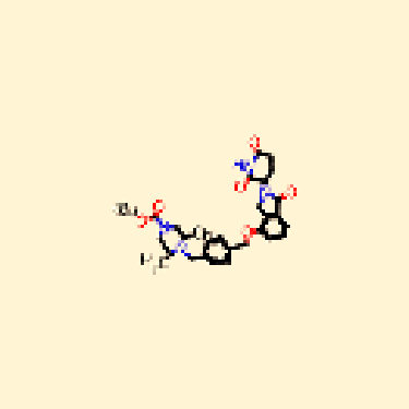 CC1CN(C(=O)OC(C)(C)C)CC(C)N1Cc1ccc(COc2cccc3c2CN(C2CCC(=O)NC2=O)C3=O)cc1